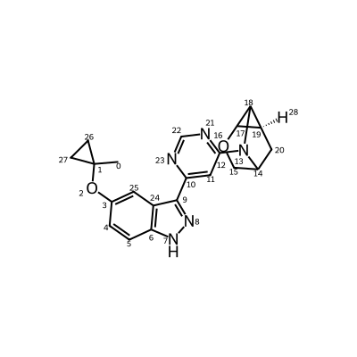 CC1(Oc2ccc3[nH]nc(-c4cc(N5C6COC7C5[C@H]7C6)ncn4)c3c2)CC1